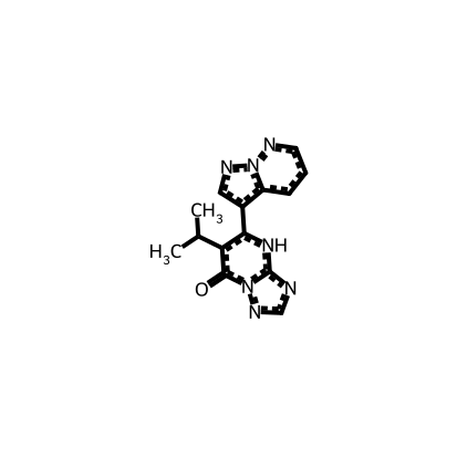 CC(C)c1c(-c2cnn3ncccc23)[nH]c2ncnn2c1=O